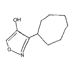 Oc1conc1C1CCCCCC1